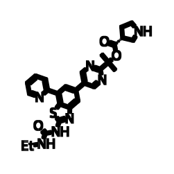 CCNC(=O)Nc1nc2cc(-c3cnc(C(C)(C)OC(=O)[C@@H]4CCNC4)nc3)cc(-c3ccccn3)c2s1